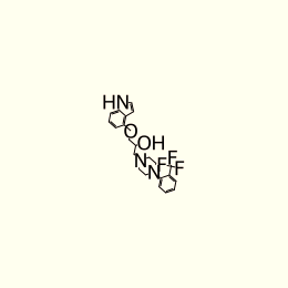 O[C@H](COc1cccc2[nH]ccc12)CN1CCN(c2ccccc2C(F)(F)F)CC1